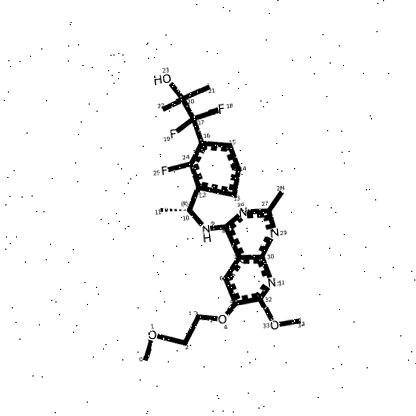 COCCOc1cc2c(N[C@H](C)c3cccc(C(F)(F)C(C)(C)O)c3F)nc(C)nc2nc1OC